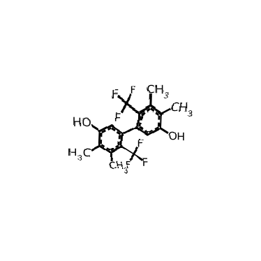 Cc1c(O)cc(-c2cc(O)c(C)c(C)c2C(F)(F)F)c(C(F)(F)F)c1C